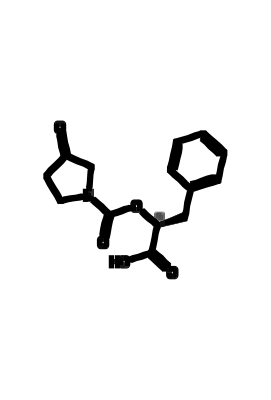 O=C1CCN(C(=O)O[C@@H](Cc2ccccc2)C(=O)O)C1